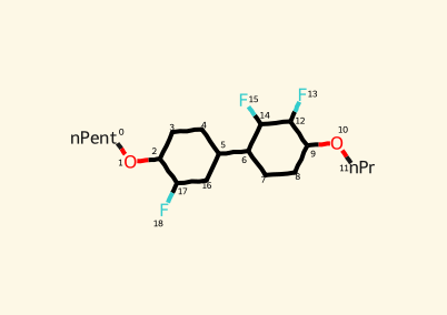 CCCCCOC1CCC(C2CCC(OCCC)C(F)C2F)CC1F